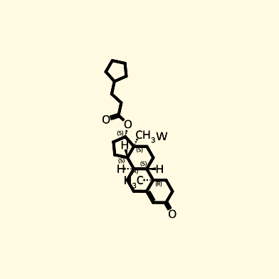 C[C@]12CC[C@H]3[C@@H](CCC4=CC(=O)CC[C@@]43C)[C@@H]1CC[C@@H]2OC(=O)CCC1CCCC1.[W]